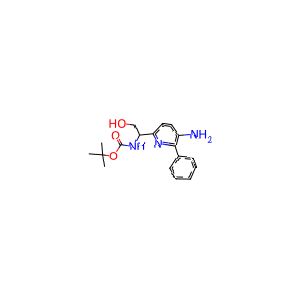 CC(C)(C)OC(=O)NC(CO)c1ccc(N)c(-c2ccccc2)n1